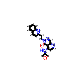 O=c1c2c(NC3COC3)ccnc2cnn1CCc1ccc2ccccc2n1